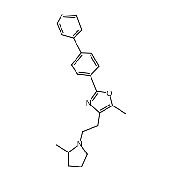 Cc1oc(-c2ccc(-c3ccccc3)cc2)nc1CCN1CCCC1C